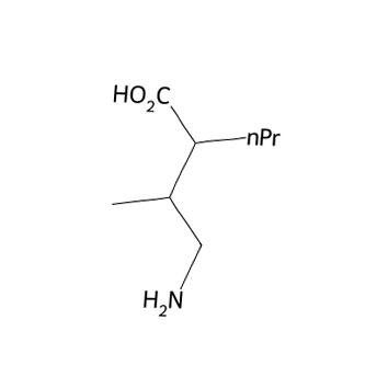 CCCC(C(=O)O)C(C)CN